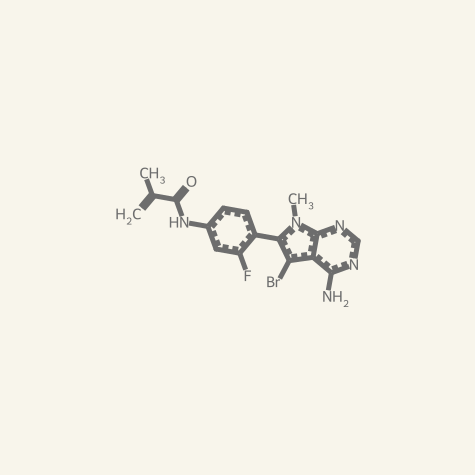 C=C(C)C(=O)Nc1ccc(-c2c(Br)c3c(N)ncnc3n2C)c(F)c1